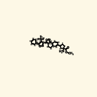 COC(=O)C1(N)CCC(c2ccc3c(c2)CCc2c-3noc2-c2noc(-c3ccccc3)c2C(F)(F)F)C1